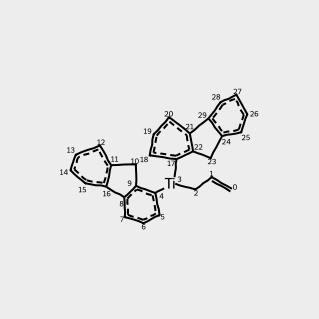 C=C[CH2][Ti]([c]1cccc2c1Cc1ccccc1-2)[c]1cccc2c1Cc1ccccc1-2